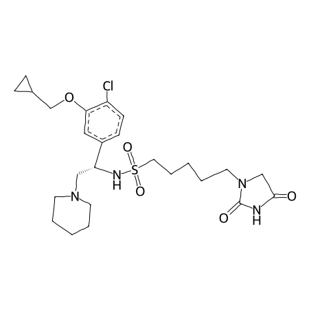 O=C1CN(CCCCCS(=O)(=O)N[C@H](CN2CCCCC2)c2ccc(Cl)c(OCC3CC3)c2)C(=O)N1